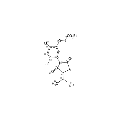 CCOC(=O)COc1cc(N2C(=O)CC(=C(C)C)C2=O)c(F)cc1Cl